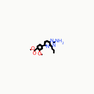 CCCc1nc(N)nc2ccc(-c3ccc(C(=O)OC)c(OC)c3)nc12